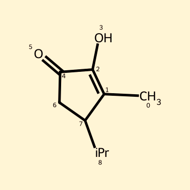 CC1=C(O)C(=O)CC1C(C)C